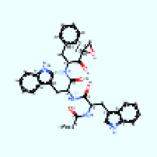 CCCCCC(=O)NC(Cc1c[nH]c2ccccc12)C(=O)NC(Cc1c[nH]c2ccccc12)C(=O)NC(Cc1ccccc1)C(=O)[C@@]1(C)CO1